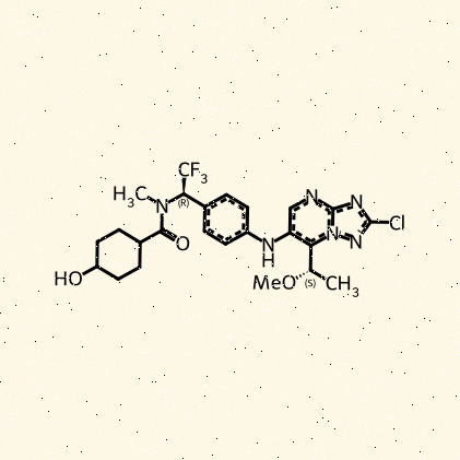 CO[C@@H](C)c1c(Nc2ccc([C@@H](N(C)C(=O)C3CCC(O)CC3)C(F)(F)F)cc2)cnc2nc(Cl)nn12